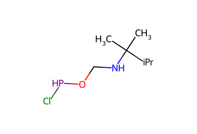 CC(C)C(C)(C)NCOPCl